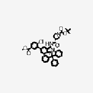 COC(=O)c1ccc(Cl)c(-c2ccc3c(c2)c(NC(=O)[C@@H]2CCN(C(=O)OC(C)(C)C)C2)nn3C(c2ccccc2)(c2ccccc2)c2ccccc2)c1